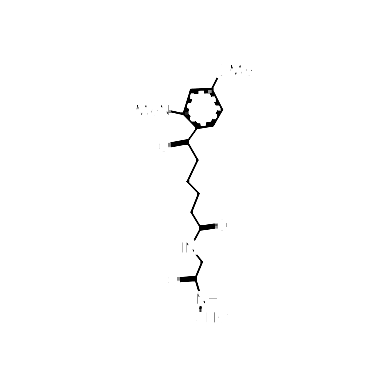 CNc1cc(OC)ccc1C(=O)CCCCC(=O)NCC(=O)NC=O